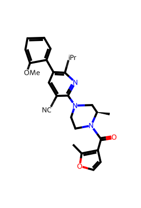 COc1ccccc1-c1cc(C#N)c(N2CCN(C(=O)c3ccoc3C)[C@H](C)C2)nc1C(C)C